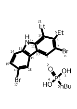 CCCCP(=O)(O)O.CCc1c(Br)cc2c([nH]c3ccc(Br)cc32)c1CC